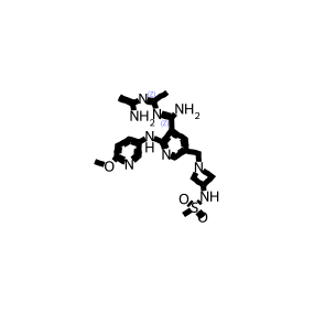 C=C(N)/N=C(C)\N=C(/N)c1cc(CN2CC(NS(C)(=O)=O)C2)cnc1Nc1ccc(OC)nc1